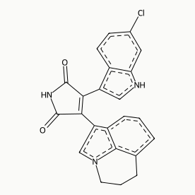 O=C1NC(=O)C(c2cn3c4c(cccc24)CCC3)=C1c1c[nH]c2cc(Cl)ccc12